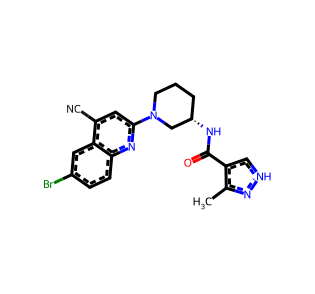 Cc1n[nH]cc1C(=O)N[C@H]1CCCN(c2cc(C#N)c3cc(Br)ccc3n2)C1